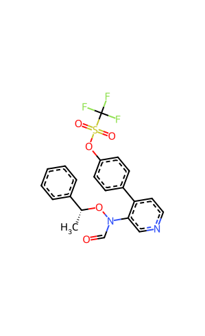 C[C@@H](ON(C=O)c1cnccc1-c1ccc(OS(=O)(=O)C(F)(F)F)cc1)c1ccccc1